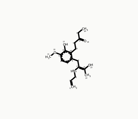 C=CCN/C(Cc1ccc(OC)c(O)c1CCC(=O)CC)=C(\C)O